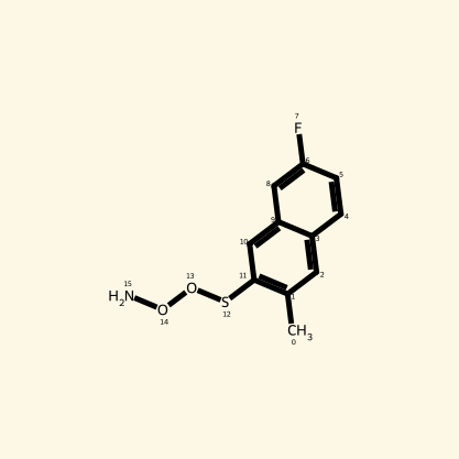 Cc1cc2ccc(F)cc2cc1SOON